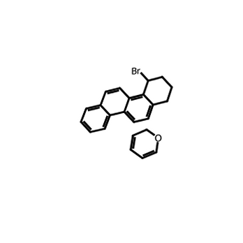 BrC1CCCc2ccc3c(ccc4ccccc43)c21.C1=CCOC=C1